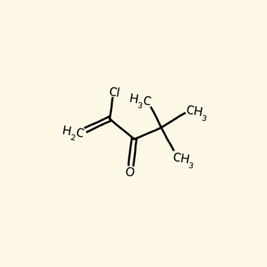 C=C(Cl)C(=O)C(C)(C)C